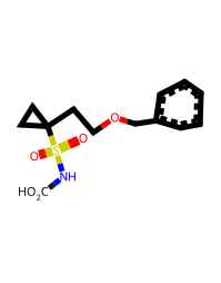 O=C(O)NS(=O)(=O)C1(CCOCc2ccccc2)CC1